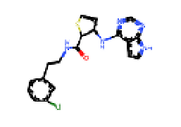 O=C(NCCc1cccc(Cl)c1)C1SC=CC1Nc1ncnc2[nH]ccc12